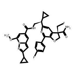 COc1cc(C(=O)NC[C@H](c2cc3c(c(-c4ccc(F)cc4)n2)OC[C@@]3(CF)C(N)=O)C2CC2)cc2cc(C3CC3)nn12